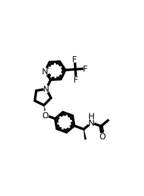 CC(=O)N[C@@H](C)c1ccc(O[C@@H]2CCN(c3cc(C(F)(F)F)ccn3)C2)cc1